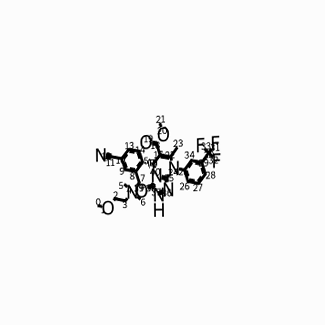 COCC[N+](C)(C)Cc1cc(C#N)ccc1[C@@H]1C(C(=O)OC)=C(C)N(c2cccc(C(F)(F)F)c2)c2n[nH]c(=O)n21